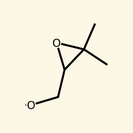 CC1(C)OC1C[O]